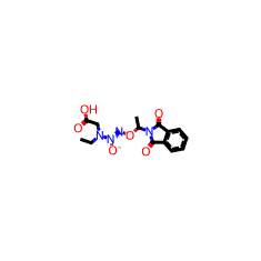 CCN(CC(=O)O)[N+]([O-])=NOC(C)N1C(=O)c2ccccc2C1=O